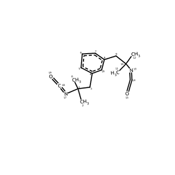 CC(C)(Cc1cccc(CC(C)(C)N=C=O)c1)N=C=O